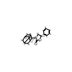 O=C1O[C@@H](c2ccccc2)CN1C1C2CC3CC(C2)CC1C3